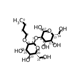 CCCCO[C@H]1[C@@H](O[C@@H]2[C@@H](O)[C@H](O)[C@@H](CO)O[C@H]2O)O[C@H](CO)[C@@H](O)[C@@H]1O